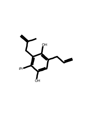 C=CCc1cc(O)c(C(C)C)c(CC(=C)C)c1O